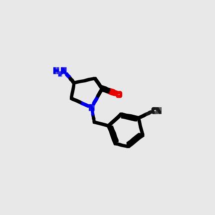 N#Cc1cccc(CN2CC(N)CC2=O)c1